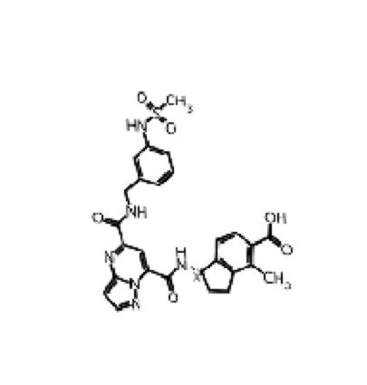 Cc1c(C(=O)O)ccc2c1CC[C@@H]2NC(=O)c1cc(C(=O)NCc2cccc(NS(C)(=O)=O)c2)nc2ccnn12